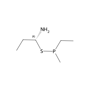 CC[C@H](N)SP(C)CC